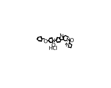 CN1CCCC1C(=O)N1CCc2c(c3ccc(-n4ccc(OCc5ccccc5)cc4=O)cc3n2C)C1.Cl